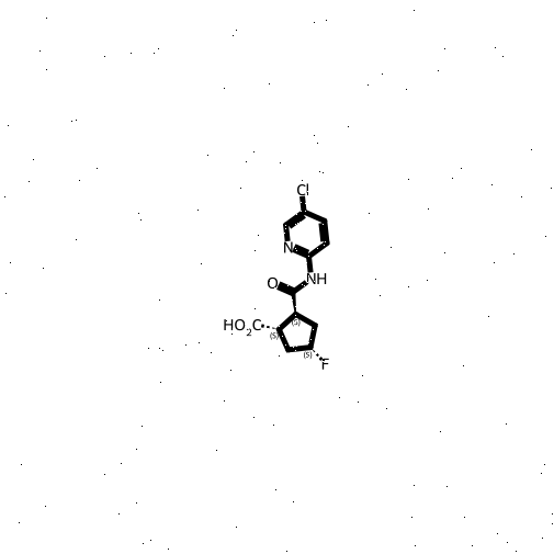 O=C(O)[C@H]1C[C@@H](F)C[C@@H]1C(=O)Nc1ccc(Cl)cn1